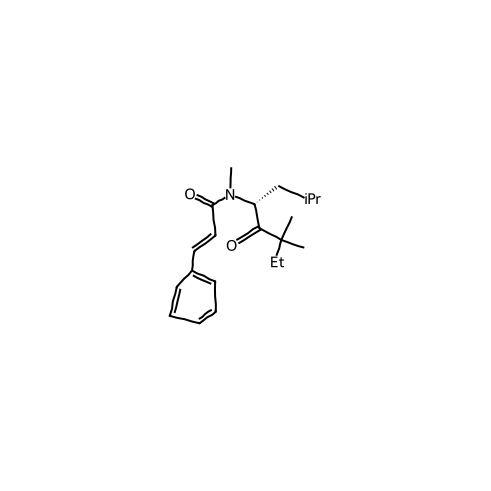 CCC(C)(C)C(=O)[C@@H](CC(C)C)N(C)C(=O)/C=C/c1ccccc1